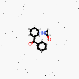 O=C(c1ccccc1)c1ccccc1.O=C1CN1